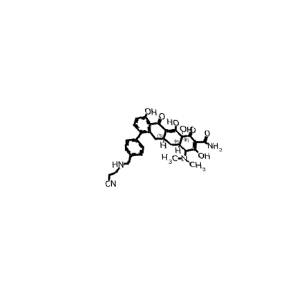 CN(C)C1C(O)=C(C(N)=O)C(=O)[C@]2(O)C(O)=C3C(=O)c4c(O)ccc(-c5ccc(CNCCC#N)cc5)c4C[C@@H]3C[C@H]12